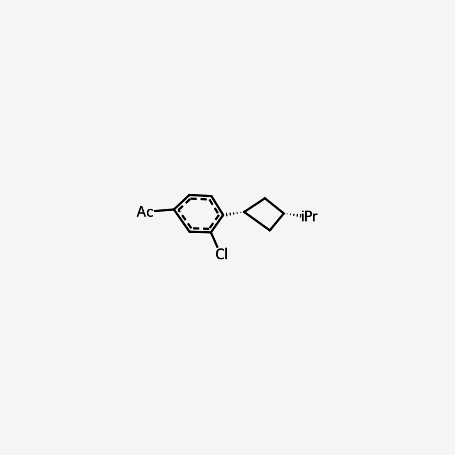 CC(=O)c1ccc([C@H]2C[C@@H](C(C)C)C2)c(Cl)c1